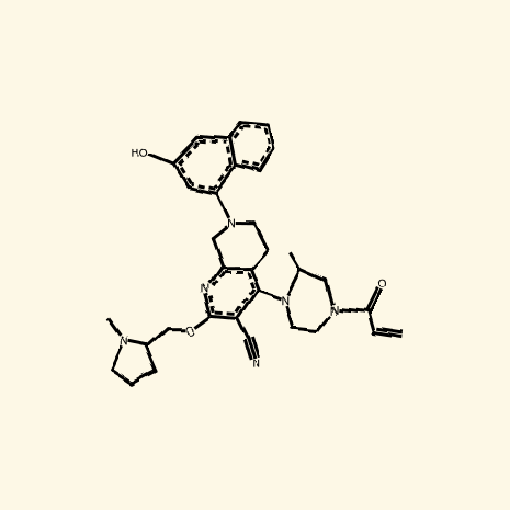 C=CC(=O)N1CCN(c2c(C#N)c(OCC3CCCN3C)nc3c2CCN(c2cc(O)cc4ccccc24)C3)C(C)C1